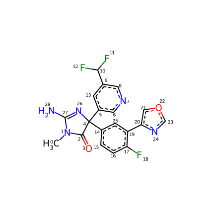 CN1C(=O)C(c2cncc(C(F)F)c2)(c2ccc(F)c(-c3cocn3)c2)N=C1N